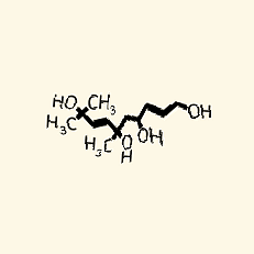 CC(C)(O)C=CC(C)(O)CC(O)C=CCO